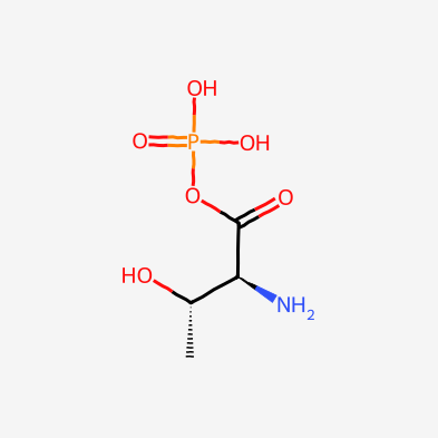 C[C@H](O)[C@H](N)C(=O)OP(=O)(O)O